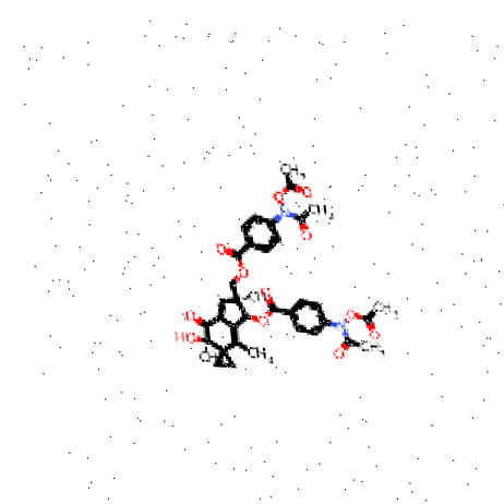 CC(=O)ON(C(C)=O)c1ccc(C(=O)OC[C@]2(C)C=C3C(=O)[C@](C)(O)C4(CC4)C(C)=C3C2OC(=O)c2ccc(N(OC(C)=O)C(C)=O)cc2)cc1